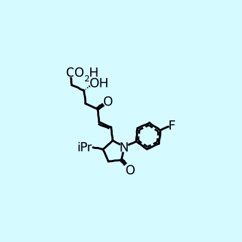 CC(C)C1CC(=O)N(c2ccc(F)cc2)C1/C=C/C(=O)C[C@@H](O)CC(=O)O